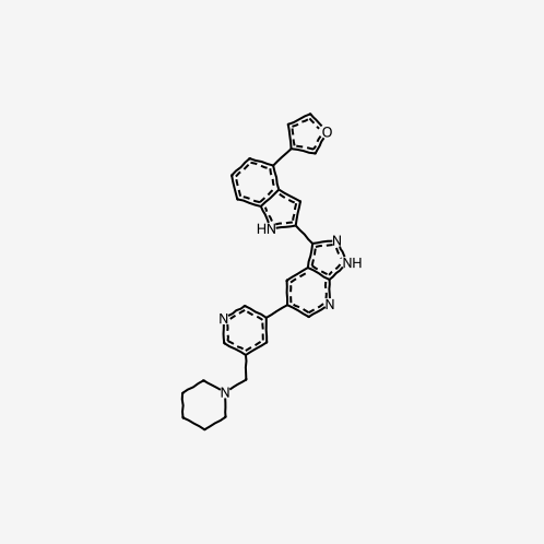 c1cc(-c2ccoc2)c2cc(-c3n[nH]c4ncc(-c5cncc(CN6CCCCC6)c5)cc34)[nH]c2c1